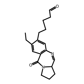 CCc1cc2c(cc1CCCCC=O)N=CC1CCCN1C2=O